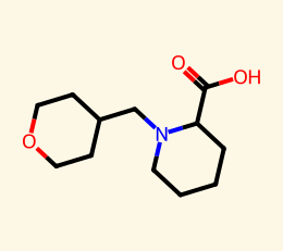 O=C(O)C1CCCCN1CC1CCOCC1